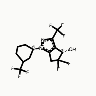 O[C@H]1c2c(C(F)(F)F)nn([C@@H]3CCCC(C(F)(F)F)C3)c2CC1(F)F